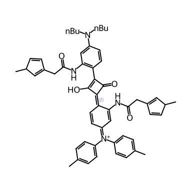 CCCCN(CCCC)c1ccc(C2=C(O)/C(=C3\C=CC(=[N+](c4ccc(C)cc4)c4ccc(C)cc4)C=C3NC(=O)CC3=CC(C)C=C3)C2=O)c(NC(=O)CC2=CC(C)C=C2)c1